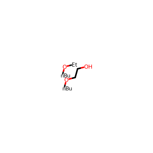 CCCCOCC.CCCCOCCO